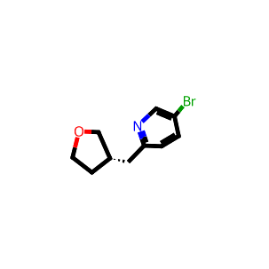 Brc1ccc(C[C@@H]2CCOC2)nc1